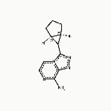 Nc1nccn2c(C3[C@H]4CCC[C@@H]34)nnc12